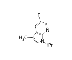 Cc1cn(C(C)C)c2ncc(F)cc12